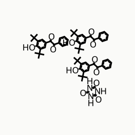 CC(C)(C)c1cc(C(=O)C(=O)c2ccccc2)cc(C(C)(C)C)c1O.CC(C)(C)c1cc(C(=O)C(=O)c2ccccc2)cc(C(C)(C)C)c1O.CC(C)(C)c1cc(C(=O)C(=O)c2ccccc2)cc(C(C)(C)C)c1O.O=c1[nH]c(=O)[nH]c(=O)[nH]1